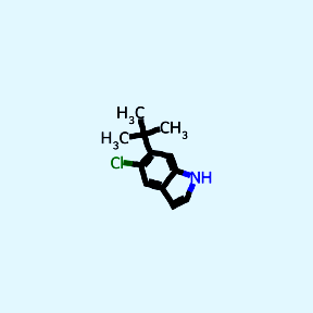 CC(C)(C)c1cc2[nH]ccc2cc1Cl